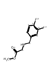 COC(=O)CNCc1ccc(F)c(F)c1